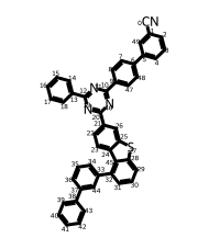 N#Cc1cccc(-c2ccc(-c3nc(-c4ccccc4)nc(-c4ccc5c(c4)sc4cccc(-c6cccc(-c7ccccc7)c6)c45)n3)cc2)c1